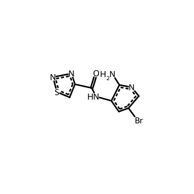 Nc1ncc(Br)cc1NC(=O)c1csnn1